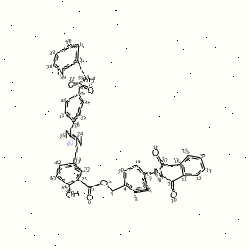 O=C(OCc1ccc(N2C(=O)c3ccccc3C2=O)cc1)c1cc(/N=N/c2ccc(S(=O)(=O)Nc3ccccn3)cc2)ccc1O